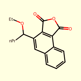 CCCC(OCC)c1cc2ccccc2c2c1C(=O)OC2=O